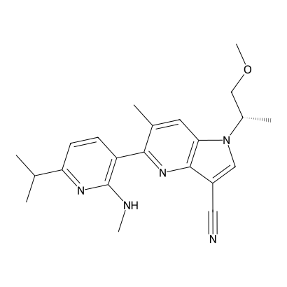 CNc1nc(C(C)C)ccc1-c1nc2c(C#N)cn([C@@H](C)COC)c2cc1C